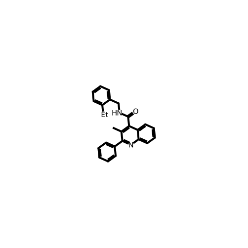 CCc1ccccc1CNC(=O)c1c(C)c(-c2ccccc2)nc2ccccc12